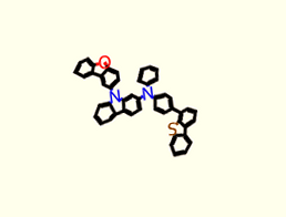 c1ccc(N(c2ccc(-c3cccc4c3sc3ccccc34)cc2)c2ccc3c4ccccc4n(-c4ccc5oc6ccccc6c5c4)c3c2)cc1